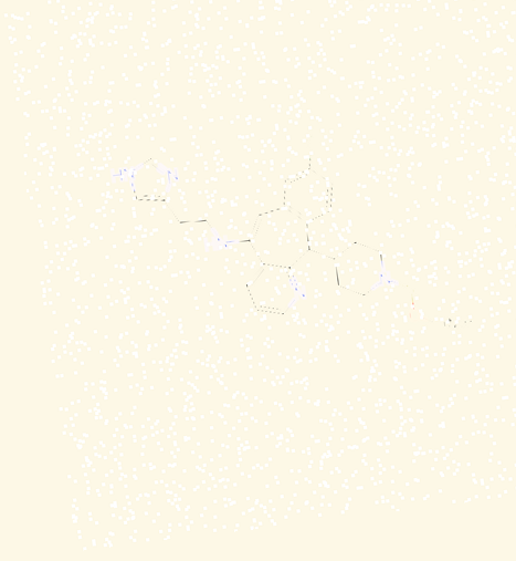 COOSN1CCC(C2c3ccc(Cl)cc3C=C(NCCc3c[nH]cn3)c3cccnc32)CC1